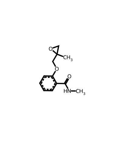 CNC(=O)c1ccccc1OCC1(C)CO1